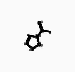 CC(=O)N1C=CSO1